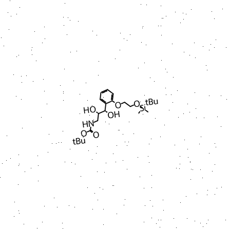 CC(C)(C)OC(=O)NC[C@@H](O)[C@H](O)c1ccccc1OCCO[Si](C)(C)C(C)(C)C